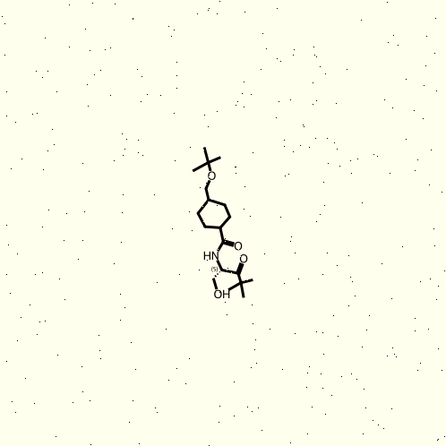 CC(C)(C)OCC1CCC(C(=O)N[C@@H](CO)C(=O)C(C)(C)C)CC1